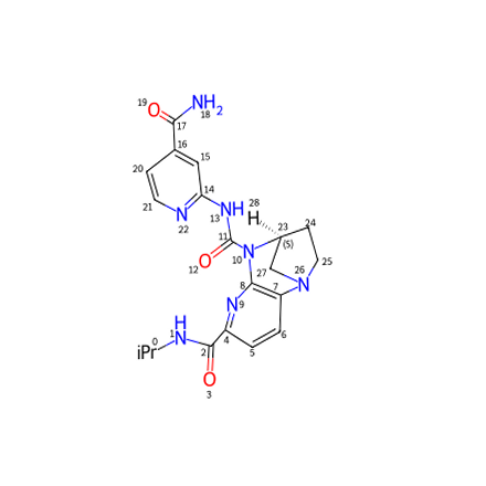 CC(C)NC(=O)c1ccc2c(n1)N(C(=O)Nc1cc(C(N)=O)ccn1)[C@H]1CCN2C1